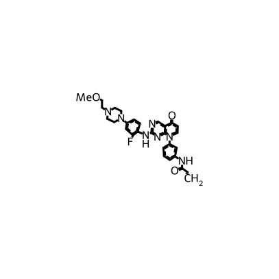 C=CC(=O)Nc1cccc(-n2ccc(=O)c3cnc(Nc4ccc(N5CCN(CCOC)CC5)cc4F)nc32)c1